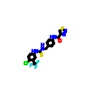 O=C(Nc1ccc(CNC(=S)Nc2ccc(Cl)c(C(F)(F)F)c2)cc1)c1csnn1